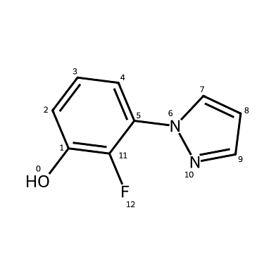 Oc1cccc(-n2cccn2)c1F